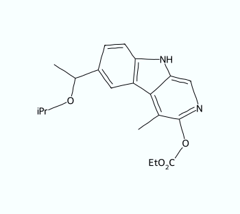 CCOC(=O)Oc1ncc2[nH]c3ccc(C(C)OC(C)C)cc3c2c1C